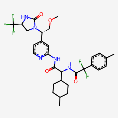 COC[C@H](c1ccnc(NC(=O)[C@@H](NC(=O)C(F)(F)c2ccc(C)cc2)C2CCC(C)CC2)c1)N1C[C@@H](C(F)(F)F)NC1=O